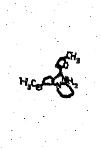 COc1ccc([C@H](N)c2ccc(C)o2)c(N2CCCCCC2)c1